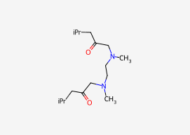 CC(C)CC(=O)CN(C)CCN(C)CC(=O)CC(C)C